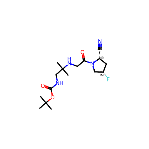 CC(C)(CNC(=O)OC(C)(C)C)NCC(=O)N1C[C@@H](F)C[C@H]1C#N